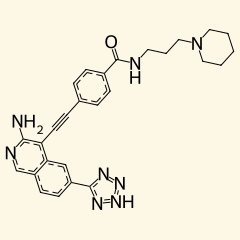 Nc1ncc2ccc(-c3nn[nH]n3)cc2c1C#Cc1ccc(C(=O)NCCCN2CCCCC2)cc1